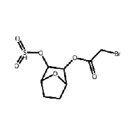 O=C(CBr)OC1C2CCC(O2)C1O[SH](=O)=O